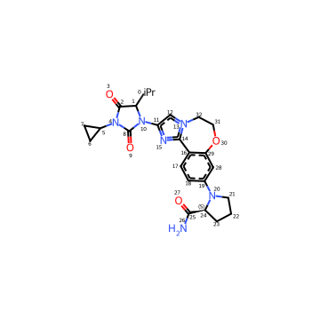 CC(C)C1C(=O)N(C2CC2)C(=O)N1c1cn2c(n1)-c1ccc(N3CCC[C@H]3C(N)=O)cc1OCC2